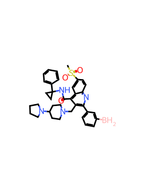 Bc1cccc(-c2nc3ccc(S(C)(=O)=O)cc3c(C(=O)NC3(c4ccccc4)CC3)c2CN2CCC(N3CCCC3)CC2)c1